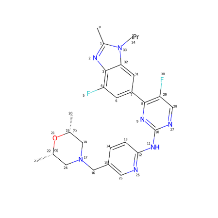 Cc1nc2c(F)cc(-c3nc(Nc4ccc(CN5C[C@@H](C)O[C@@H](C)C5)cn4)ncc3F)cc2n1C(C)C